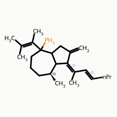 C=C1CC2C(/C1=C(C)/C=C/CCC)[C@@H](C)CCCC2(P)C(C)=C(C)C